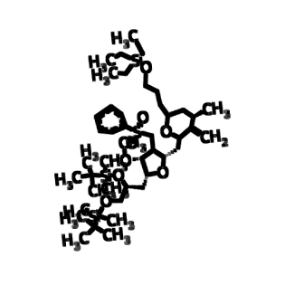 C=C1C(C[C@@H]2O[C@H](C[C@@H](CO[Si](C)(C)C(C)(C)C)O[Si](C)(C)C(C)(C)C)[C@H](OC)C2CS(=O)(=O)c2ccccc2)OC(CCCO[Si](CC)(CC)CC)C[C@H]1C